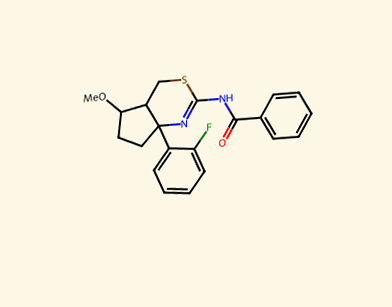 COC1CCC2(c3ccccc3F)N=C(NC(=O)c3ccccc3)SCC12